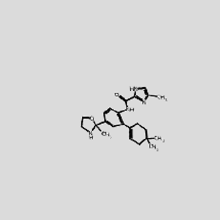 Cc1c[nH]c(C(=O)Nc2ccc(C3(C)NCCO3)cc2C2=CCC(C)(C)CC2)n1